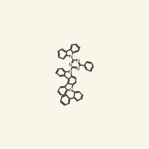 c1ccc(-c2nc(-n3c4ccccc4c4ccccc43)nc(-n3c4ccccc4c4c5c6ccccc6n(-c6ccccc6-c6ccccc6)c5ccc43)n2)cc1